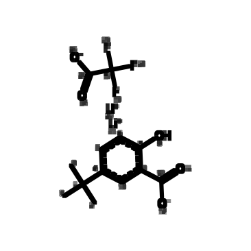 CC(C)(C)c1ccc(O)c(C(=O)[O-])c1.O=C([O-])C(F)(F)F.[Li+].[Li+]